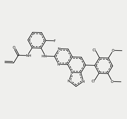 C=CC(=O)Nc1cccc(F)c1Nc1ncc2cc(-c3c(Cl)c(OC)cc(OC)c3Cl)c3ncnn3c2n1